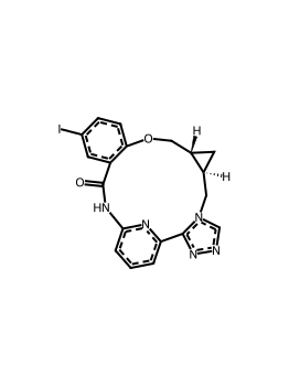 O=C1Nc2cccc(n2)-c2nncn2C[C@@H]2C[C@H]2COc2ccc(I)cc21